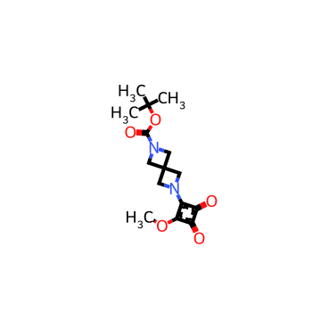 COc1c(N2CC3(CN(C(=O)OC(C)(C)C)C3)C2)c(=O)c1=O